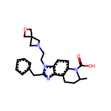 CC1CCc2c(ccc3c2nc(Cc2ccccc2)n3CCN2CC3(COC3)C2)N1C(=O)O